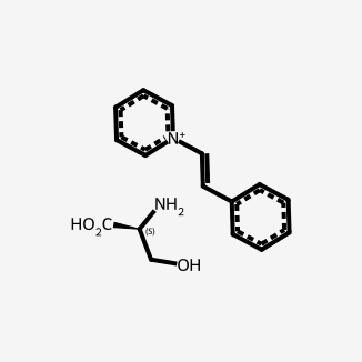 C(=C[n+]1ccccc1)c1ccccc1.N[C@@H](CO)C(=O)O